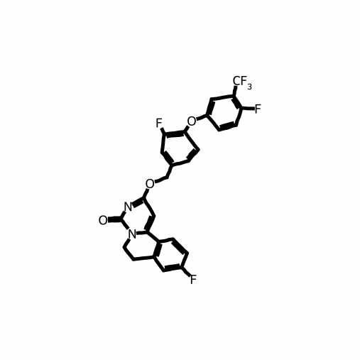 O=c1nc(OCc2ccc(Oc3ccc(F)c(C(F)(F)F)c3)c(F)c2)cc2n1CCc1cc(F)ccc1-2